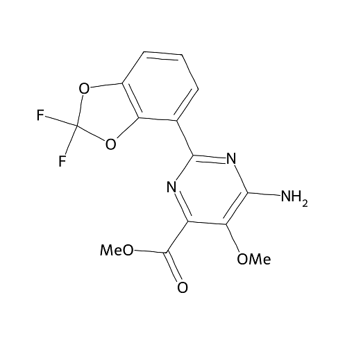 COC(=O)c1nc(-c2cccc3c2OC(F)(F)O3)nc(N)c1OC